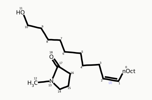 CCCCCCCC/C=C\CCCCCCCCO.CN1CCCC1=O